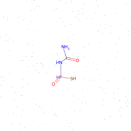 NC(=O)N[PH](=O)S